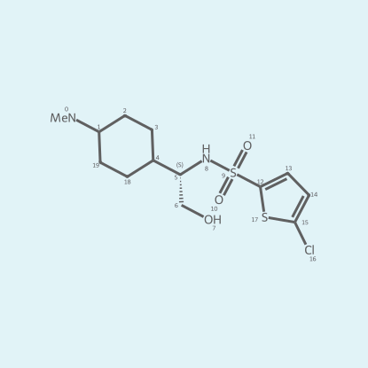 CNC1CCC([C@@H](CO)NS(=O)(=O)c2ccc(Cl)s2)CC1